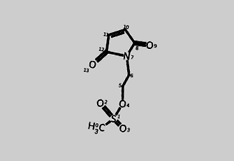 CS(=O)(=O)OCCN1C(=O)C=CC1=O